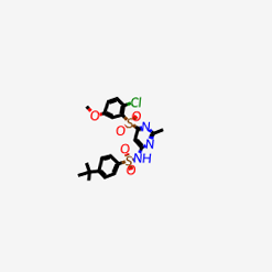 COc1ccc(Cl)c(S(=O)(=O)c2cc(NS(=O)(=O)c3ccc(C(C)(C)C)cc3)nc(C)n2)c1